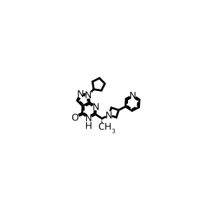 C[C@H](c1nc2c(cnn2C2CCCC2)c(=O)[nH]1)N1CC(c2cccnc2)C1